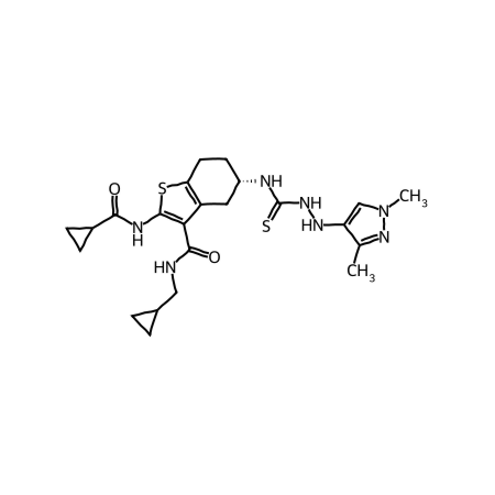 Cc1nn(C)cc1NNC(=S)N[C@H]1CCc2sc(NC(=O)C3CC3)c(C(=O)NCC3CC3)c2C1